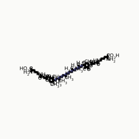 CC1=C(/C=C/C(C)=C/C=C/C(C)=C/C=C/C=C(C)/C=C/C=C(C)/C=C/C2=C(C)C(=O)C(OC(=O)CNC(=O)NCCCCC(N)C(=O)O)CC2(C)C)C(C)(C)CC(OC(=O)CNC(=O)NCCCCC(N)C(=O)O)C1=O